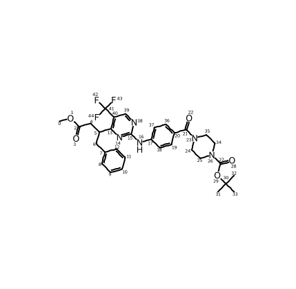 COC(=O)CC(Cc1ccccc1)c1nc(Nc2ccc(C(=O)N3CCN(C(=O)OC(C)(C)C)CC3)cc2)ncc1C(F)(F)F